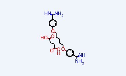 N=C(N)c1ccc(OCCCCCOc2ccc(C(=N)N)cc2)cc1.O=C(O)CCC(=O)O